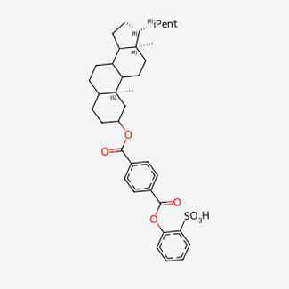 CCC[C@@H](C)[C@H]1CCC2C3CCC4CCC(OC(=O)c5ccc(C(=O)Oc6ccccc6S(=O)(=O)O)cc5)C[C@]4(C)C3CC[C@@]21C